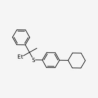 CCC(C)(Sc1ccc(C2CCCCC2)cc1)c1ccccc1